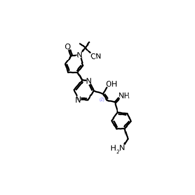 CC(C)(C#N)n1cc(-c2cncc(/C(O)=C/C(=N)c3ccc(CN)cc3)n2)ccc1=O